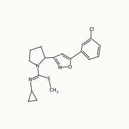 CSC(=NC1CC1)N1CCCC1c1cc(-c2cccc(Cl)c2)on1